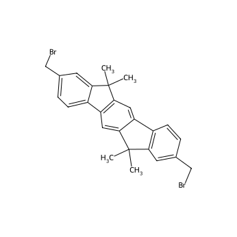 CC1(C)c2cc(CBr)ccc2-c2cc3c(cc21)-c1ccc(CBr)cc1C3(C)C